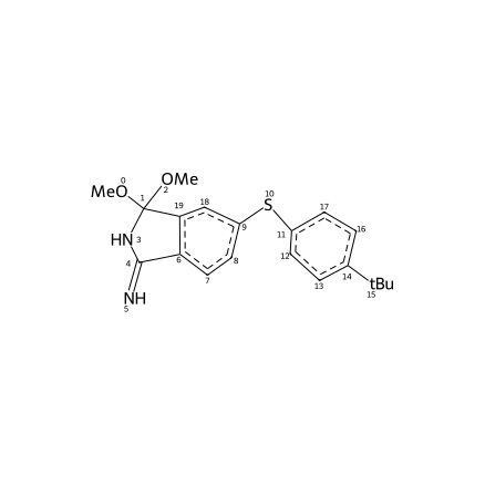 COC1(OC)NC(=N)c2ccc(Sc3ccc(C(C)(C)C)cc3)cc21